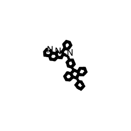 c1ccc(-c2c3ccccc3c(-c3ccc(-c4nc5ccccc5c5nc6c(ccc7cccnc76)cc45)cc3)c3ccccc23)cc1